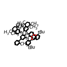 Cc1ccccc1-c1cc2c3c(c1)N(c1ccc(C(C)(C)C)cc1-c1ccccc1)c1c(ccc4c1sc1cccc(C(C)(C)C)c14)B3c1cc3c(cc1N2c1ccc2c(c1)C(C)(C)CCC2(C)C)C(C)(C)CCC3(C)C